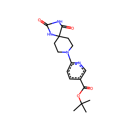 CC(C)(C)OC(=O)c1ccc(N2CCC3(CC2)NC(=O)NC3=O)nc1